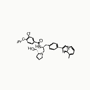 Cc1cccn2cc(-c3ccc(C[C@@H](CN4CCC[C@@H]4CO)NC(=O)c4ccc(OC(C)C)c(Cl)c4)cc3)nc12